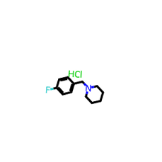 Cl.Fc1ccc(CN2CCCCC2)cc1